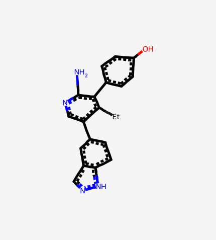 CCc1c(-c2ccc3[nH]ncc3c2)cnc(N)c1-c1ccc(O)cc1